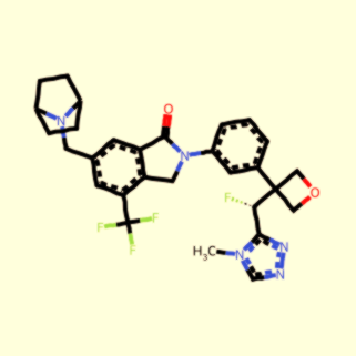 Cn1cnnc1[C@H](F)C1(c2cccc(N3Cc4c(cc(CN5C6CCC5CC6)cc4C(F)(F)F)C3=O)c2)COC1